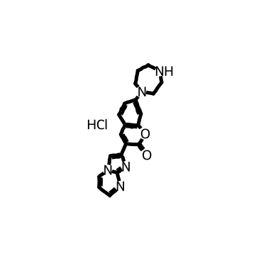 Cl.O=c1oc2cc(N3CCCNCC3)ccc2cc1-c1cn2cccnc2n1